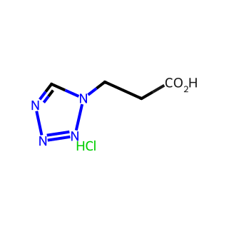 Cl.O=C(O)CCn1cnnn1